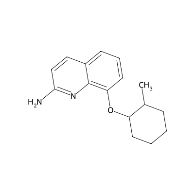 CC1CCCCC1Oc1cccc2ccc(N)nc12